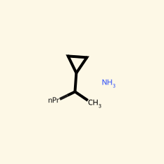 CCCC(C)C1CC1.N